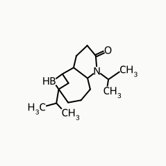 CC(C)N1C(=O)CCC2C3BC(C(C)C)(CCCC21)C3